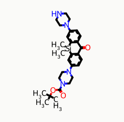 CC(C)(C)OC(=O)N1CCN(c2ccc3c(c2)[Si](C)(C)c2cc(N4CCNCC4)ccc2C3=O)CC1